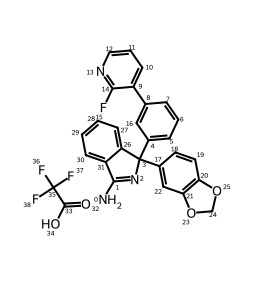 NC1=NC(c2cccc(-c3cccnc3F)c2)(c2ccc3c(c2)OCO3)c2ccccc21.O=C(O)C(F)(F)F